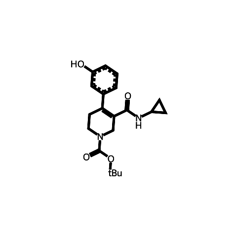 CC(C)(C)OC(=O)N1CCC(c2cccc(O)c2)=C(C(=O)NC2CC2)C1